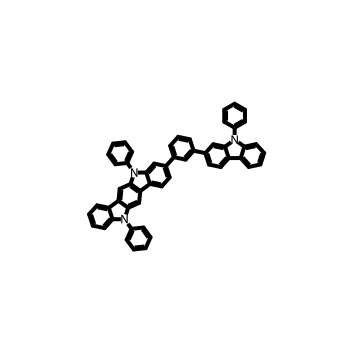 c1ccc(-n2c3ccccc3c3ccc(-c4cccc(-c5ccc6c7cc8c(cc7n(-c7ccccc7)c6c5)c5ccccc5n8-c5ccccc5)c4)cc32)cc1